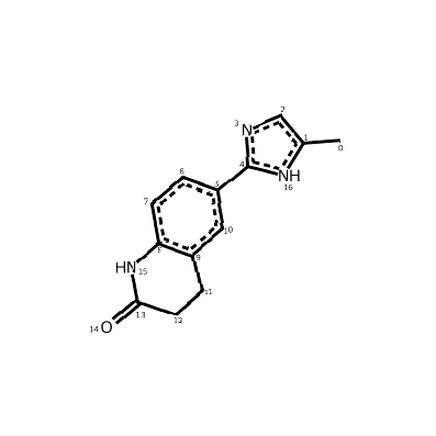 Cc1cnc(-c2ccc3c(c2)CCC(=O)N3)[nH]1